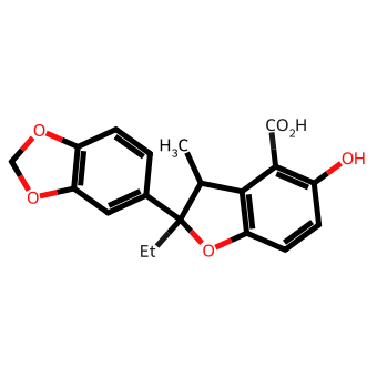 CCC1(c2ccc3c(c2)OCO3)Oc2ccc(O)c(C(=O)O)c2C1C